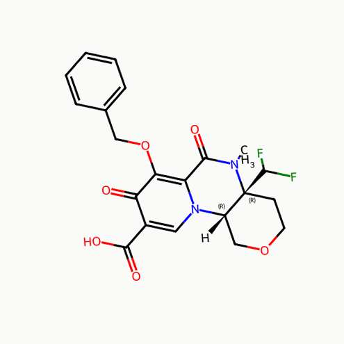 CN1C(=O)c2c(OCc3ccccc3)c(=O)c(C(=O)O)cn2[C@H]2COCC[C@]21C(F)F